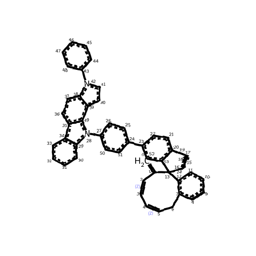 C=C1/C=C\C=C/Cc2ccccc2C12c1ccccc1-c1ccc(-c3ccc(-n4c5ccccc5c5ccc6c(ccn6-c6ccccc6)c54)cc3)cc12